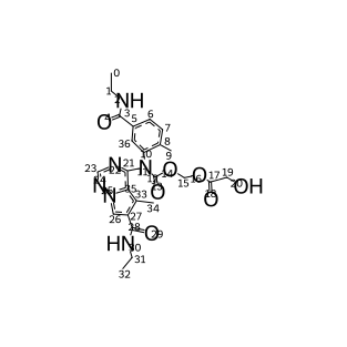 CCNC(=O)c1ccc(C)c(N(C(=O)OCOC(=O)CO)c2ncnn3cc(C(=O)NCC)c(C)c23)c1